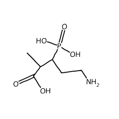 CC(C(=O)O)C(CCN)P(=O)(O)O